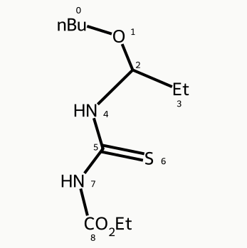 CCCCOC(CC)NC(=S)NC(=O)OCC